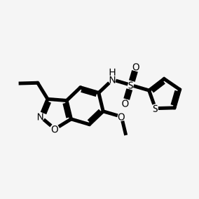 CCc1noc2cc(OC)c(NS(=O)(=O)c3cccs3)cc12